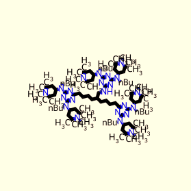 CCCCN(c1nc(CCCCC(CCCCc2nc(N(CCCC)C3CC(C)(C)N(C)C(C)(C)C3)nc(N(CCCC)C3CC(C)(C)N(C)C(C)(C)C3)n2)CNc2nc(N(CCCC)C3CC(C)(C)N(C)C(C)(C)C3)nc(N(CCCC)C3CC(C)(C)N(C)C(C)(C)C3)n2)nc(N(CCCC)C2CC(C)(C)N(C)C(C)(C)C2)n1)C1CC(C)(C)N(C)C(C)(C)C1